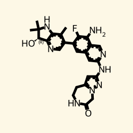 Cc1c(-c2cc3cc(Nc4cc5n(n4)CC(=O)NCC5)ncc3c(N)c2F)cnc2c1NC(C)(C)[C@H]2O